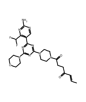 C/C=C/C(=O)CCC(=O)N1CCN(c2nc(-c3cnc(N)nc3C(F)F)nc(N3CCOCC3)n2)CC1